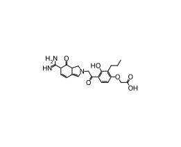 CCCc1c(OCC(=O)O)ccc(C(=O)CN2C=C3C=CC(C(=N)N)C(=O)C3C2)c1O